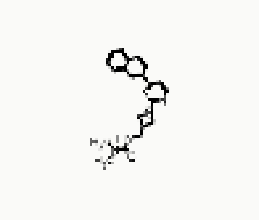 CN(C)C(=O)NCC1CN(c2nccc(-c3ccc4ccccc4c3)n2)C1